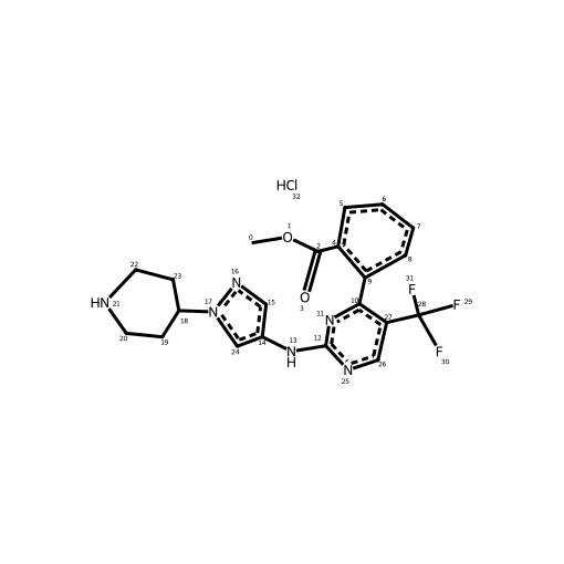 COC(=O)c1ccccc1-c1nc(Nc2cnn(C3CCNCC3)c2)ncc1C(F)(F)F.Cl